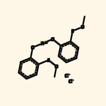 COSc1ccccc1[O][Zr+2][O]c1ccccc1SOC.[Cl-].[Cl-]